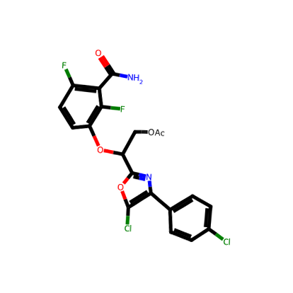 CC(=O)OCC(Oc1ccc(F)c(C(N)=O)c1F)c1nc(-c2ccc(Cl)cc2)c(Cl)o1